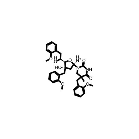 COc1ccccc1CC(O)[C@H]1O[C@@](N)(N2CC(C)(Cc3ccccc3OC)C(=O)NC2=O)C[C@@]1(O)Cc1ccccc1OC